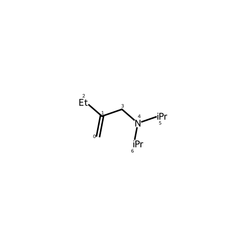 C=C(CC)CN(C(C)C)C(C)C